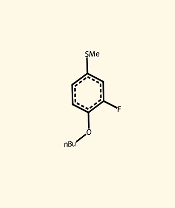 CCCCOc1ccc(SC)cc1F